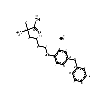 Br.CC(N)(CCCCOc1ccc(Cc2ccccc2)cc1)C(=O)O